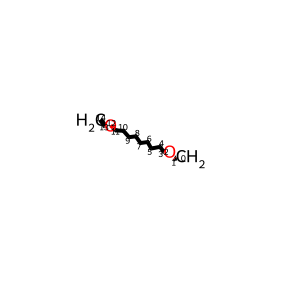 C=COCCCCCCCCCOC=C